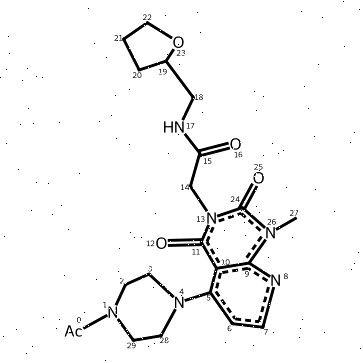 CC(=O)N1CCN(c2ccnc3c2c(=O)n(CC(=O)NCC2CCCO2)c(=O)n3C)CC1